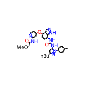 CCCCc1cc(NC(=O)Nc2ccc(Oc3ccnc(NC(=O)COC)c3)c3cn[nH]c23)n(-c2ccc(C)cc2)n1